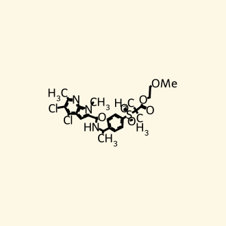 COCCOC(=O)C(C)(C)S(=O)(=O)c1ccc(C(C)NC(=O)c2cc3c(Cl)c(Cl)c(C)nc3n2C)cc1